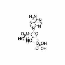 Nc1ncnc2c1ncn2[C@@H]1O[C@H](COP(=O)(O)O)C(O)C1OP(=O)(O)O